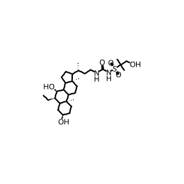 CC[C@@H]1C2C[C@H](O)CC[C@]2(C)C2CC[C@@]3(C)C(CCC3[C@H](C)CCNC(=O)NS(=O)(=O)C(C)(C)CO)C2[C@@H]1O